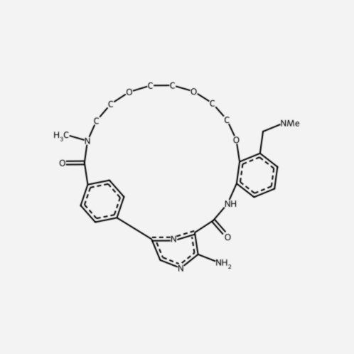 CNCc1cccc2c1OCCOCCOCCN(C)C(=O)c1ccc(cc1)-c1cnc(N)c(n1)C(=O)N2